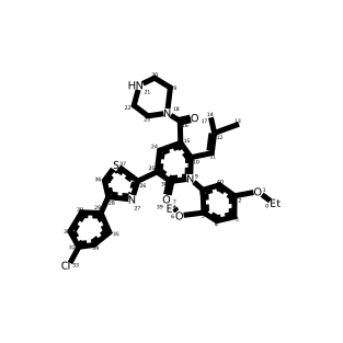 CCOc1ccc(OCC)c(-n2c(C=C(C)C)c(C(=O)N3CCNCC3)cc(-c3nc(-c4ccc(Cl)cc4)cs3)c2=O)c1